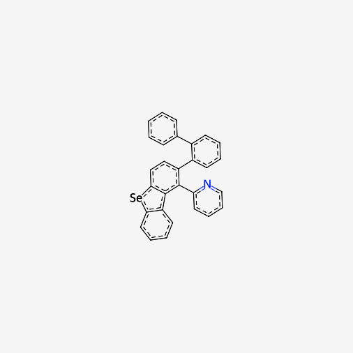 c1ccc(-c2ccccc2-c2ccc3[se]c4ccccc4c3c2-c2ccccn2)cc1